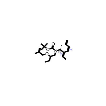 C=C/C=C\C(=C/C)[C@@H](C)N(CC(CC)OCC(=C)C)C(=O)OC(C)(C)C